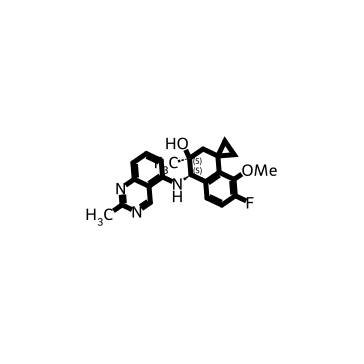 COc1c(F)ccc2c1C1(CC1)C[C@@](O)(C(F)(F)F)[C@H]2Nc1cccc2nc(C)ncc12